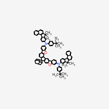 CC(C)(C)c1ccc(N(c2ccc3c(c2)C(C)(C)c2ccc4ccccc4c2-3)c2ccc3c(c2)oc2cc4c(cc23)-c2c(ccc3c2oc2cc(N(c5ccc(C(C)(C)C)cc5)c5ccc6c(c5)C(C)(C)c5ccc7ccccc7c5-6)ccc23)C42C3CC4CC(C3)CC2C4)cc1